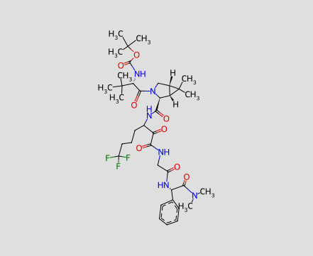 CN(C)C(=O)[C@@H](NC(=O)CNC(=O)C(=O)C(CCCC(F)(F)F)NC(=O)[C@@H]1[C@@H]2[C@H](CN1C(=O)[C@@H](NC(=O)OC(C)(C)C)C(C)(C)C)C2(C)C)c1ccccc1